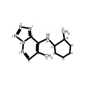 Cc1cnn2nnnc2c1NC1CCCCC1C